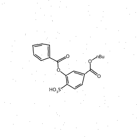 CCCCOC(=O)c1ccc(S(=O)(=O)O)c(OC(=O)c2ccccc2)c1